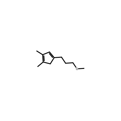 COCCCC1=CC(C)=C(C)C1